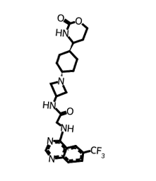 O=C(CNc1ncnc2ccc(C(F)(F)F)cc12)NC1CN([C@H]2CC[C@H](C3CCOC(=O)N3)CC2)C1